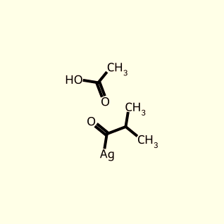 CC(=O)O.CC(C)[C](=O)[Ag]